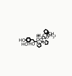 CC1(C)C2CCC1(C)C(OC(=O)[C@@H]1CCCN1C(=O)[C@H]1CCCN1C(O)[C@H](O)Cc1ccc(O)c(O)c1)C2